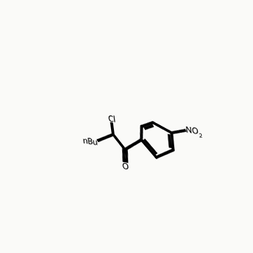 CCCCC(Cl)C(=O)c1ccc([N+](=O)[O-])cc1